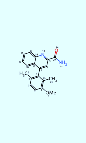 COc1ccc(C)c(-c2cc(C(N)=O)nc3ccccc23)c1C